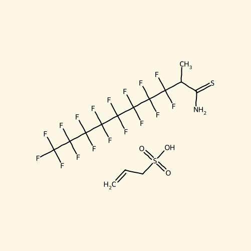 C=CCS(=O)(=O)O.CC(C(N)=S)C(F)(F)C(F)(F)C(F)(F)C(F)(F)C(F)(F)C(F)(F)C(F)(F)C(F)(F)F